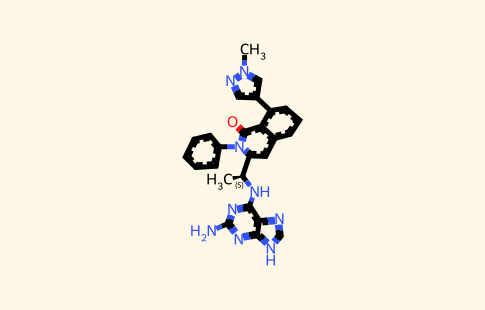 C[C@H](Nc1nc(N)nc2[nH]cnc12)c1cc2cccc(-c3cnn(C)c3)c2c(=O)n1-c1ccccc1